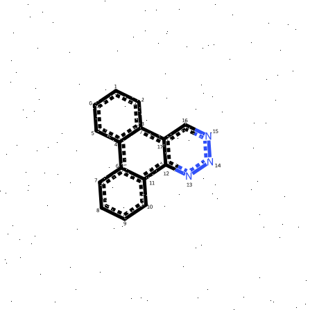 c1ccc2c(c1)c1ccccc1c1nnncc21